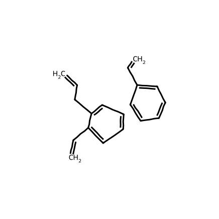 C=CCc1ccccc1C=C.C=Cc1ccccc1